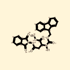 CCN(C(=O)OCC1c2ccccc2-c2ccccc21)C(CC(=O)ON1C(=O)c2ccccc2C1=O)C(=O)OC(C)(C)C